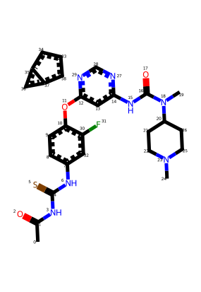 CC(=O)NC(=S)Nc1ccc(Oc2cc(NC(=O)N(C)C3CCN(C)CC3)ncn2)c(F)c1.c1cc2cc-2c1